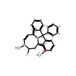 C=C1/C=C\N(C)C(I)C/C(=N\CC)N1C(c1ccccc1)(c1ccccc1)c1ccccc1